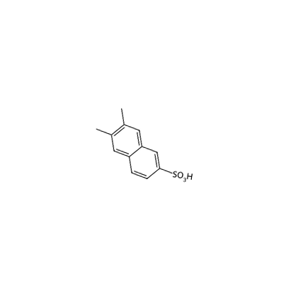 Cc1cc2ccc(S(=O)(=O)O)cc2cc1C